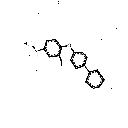 CNc1ccc(Oc2ccc(-c3ccccc3)cc2)c(F)c1